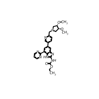 CCOC(=O)Nc1nc2cc(-c3ccc(CN4C[C@H](OC)[C@@H](OC)C4)nc3)cc(-c3ncccn3)c2[nH]1